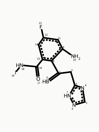 B=C(Cc1ncn[nH]1)c1c(N)cc(F)cc1C(=O)NI